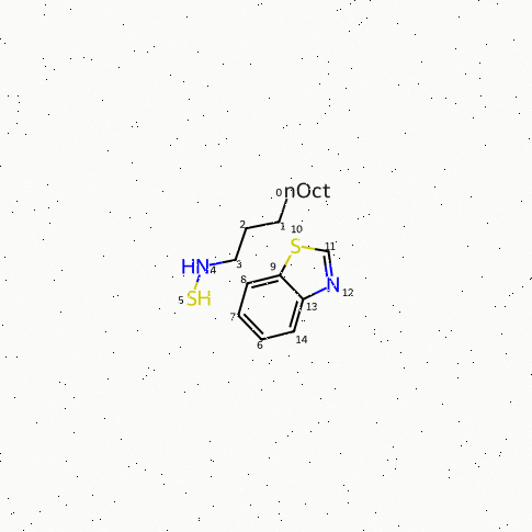 CCCCCCCCCCCNS.c1ccc2scnc2c1